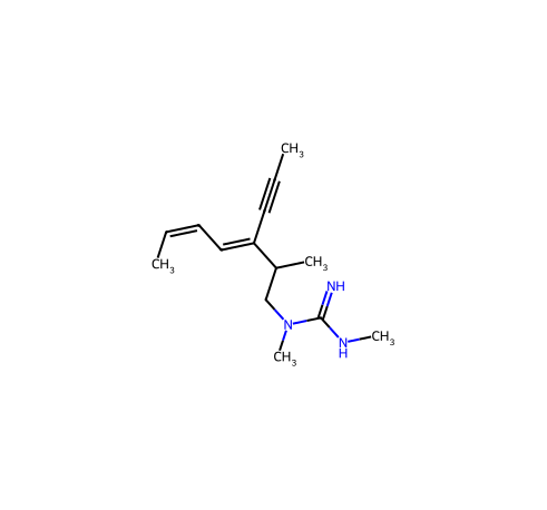 CC#C/C(=C\C=C/C)C(C)CN(C)C(=N)NC